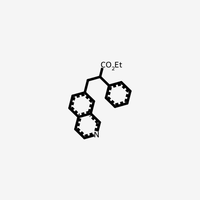 CCOC(=O)C(Cc1ccc2ccncc2c1)c1ccccc1